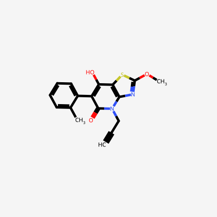 C#CCn1c(=O)c(-c2ccccc2C)c(O)c2sc(OC)nc21